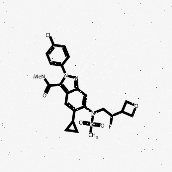 CNC(=O)c1c2cc(C3CC3)c(N(CC(F)C3COC3)S(C)(=O)=O)cc2nn1-c1ccc(Cl)cc1